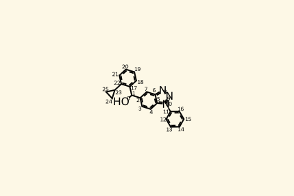 OC(c1ccc2c(c1)nnn2-c1ccccc1)c1ccccc1C1CC1